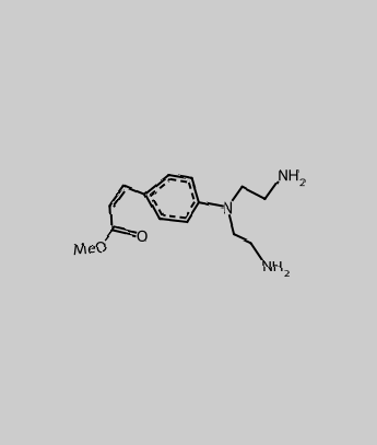 COC(=O)/C=C\c1ccc(N(CCN)CCN)cc1